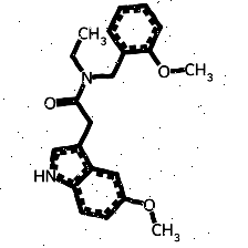 CCN(Cc1ccccc1OC)C(=O)Cc1c[nH]c2ccc(OC)cc12